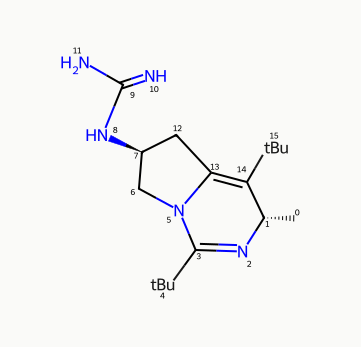 C[C@@H]1N=C(C(C)(C)C)N2C[C@@H](NC(=N)N)CC2=C1C(C)(C)C